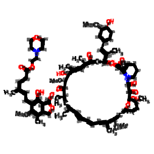 CO[C@H]1C[C@@H]2CC[C@@H](C)[C@@](O)(O2)C(=O)C(=O)N2CCCC[C@H]2C(=O)O[C@H]([C@H](C)C[C@@H]2CC[C@@H](O)[C@H](OC)C2)CC(=O)[C@H](C)/C=C(\C)[C@@H](O)[C@@H](OC)C(=O)[C@H](C)C[C@H](C)/C=C/C=C/C=C/1C.COc1c(C)c2c(c(O)c1C/C=C(\C)CCC(=O)OCCN1CCOCC1)C(=O)OC2